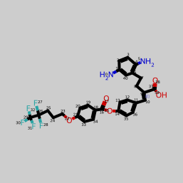 Nc1ccc(N)c(CC/C(=C\c2ccc(OC(=O)c3ccc(OCCCC(F)(F)C(F)(F)F)cc3)cc2)C(=O)O)c1